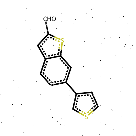 O=Cc1cc2ccc(-c3ccsc3)cc2s1